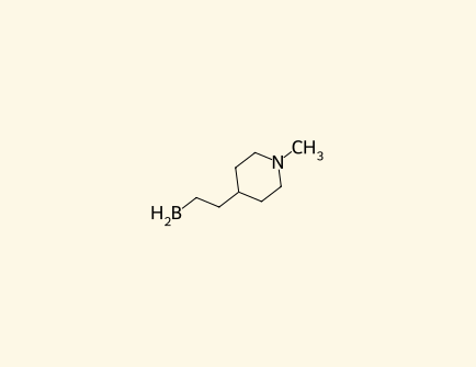 BCCC1CCN(C)CC1